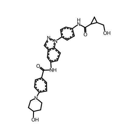 O=C(Nc1ccc2c(cnn2-c2ccc(NC(=O)C3CC3CO)cc2)c1)c1ccc(N2CCC(O)CC2)cc1